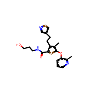 Cc1ncccc1Oc1sc(C(=O)NCCCO)c(CCc2cnsc2)c1C